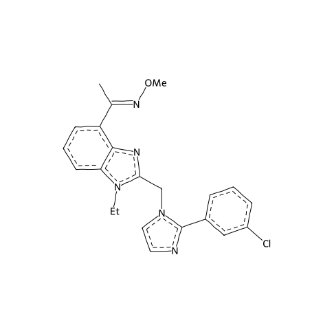 CCn1c(Cn2ccnc2-c2cccc(Cl)c2)nc2c(C(C)=NOC)cccc21